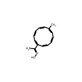 CC1=C/C=C\C=C/C(C(/N)=N/O)=C\C=C/C=C\1